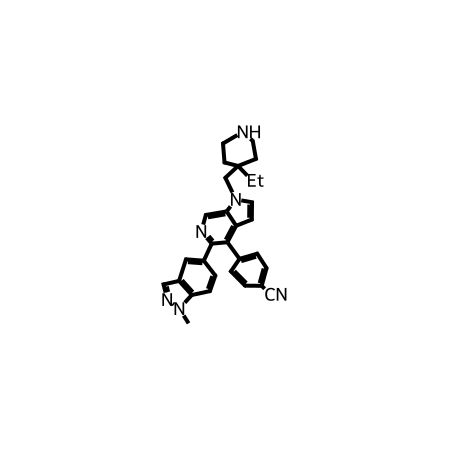 CCC1(Cn2ccc3c(-c4ccc(C#N)cc4)c(-c4ccc5c(cnn5C)c4)ncc32)CCNCC1